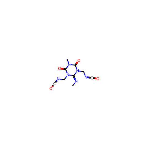 CN=c1n(CN=C=O)c(=O)n(C)c(=O)n1CN=C=O